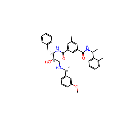 COc1cccc([C@@H](C)NC[C@@H](O)[C@H](Cc2ccccc2)NC(=O)c2cc(C)cc(C(=O)NC(C)c3ccccc3C)c2)c1